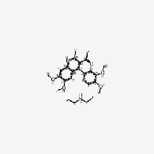 CCNCC.COc1ccc(-c2c(C(C)=O)c(C)nc3cc(OC)c(OC)cc23)cc1OC